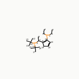 CCP(CC)C1=C(C(C)P(C(C)(C)C)C(C)(C)C)CC=C1